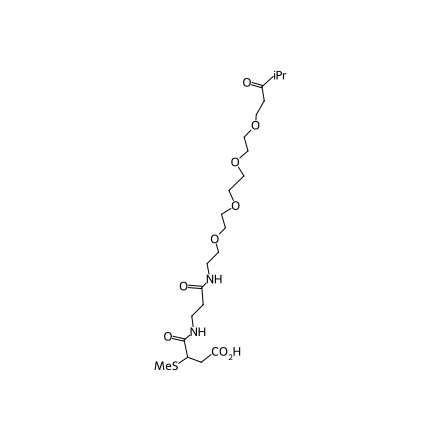 CSC(CC(=O)O)C(=O)NCCC(=O)NCCOCCOCCOCCOCCC(=O)C(C)C